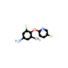 Cc1cc(N)cc(F)c1Oc1ccc(F)cn1